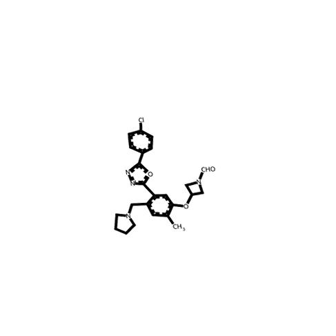 Cc1cc(CN2CCCC2)c(-c2nnc(-c3ccc(Cl)cc3)o2)cc1OC1CN(C=O)C1